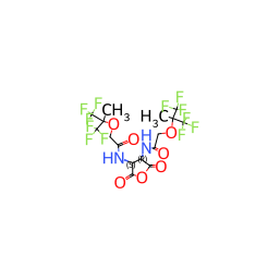 CC(OCC(=O)N[C@@H]1C(=O)OC(=O)[C@@H]1NC(=O)COC(C)(C(F)(F)F)C(F)(F)F)(C(F)(F)F)C(F)(F)F